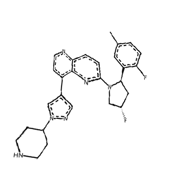 Cc1ccc(F)c([C@H]2C[C@H](F)CN2c2ccc3nccc(-c4cnn(C5CCNCC5)c4)c3n2)c1